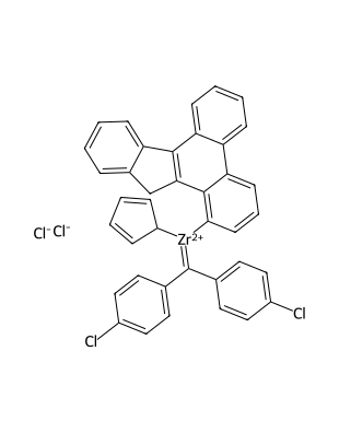 Clc1ccc([C](c2ccc(Cl)cc2)=[Zr+2]([c]2cccc3c2c2c(c4ccccc43)-c3ccccc3C2)[CH]2C=CC=C2)cc1.[Cl-].[Cl-]